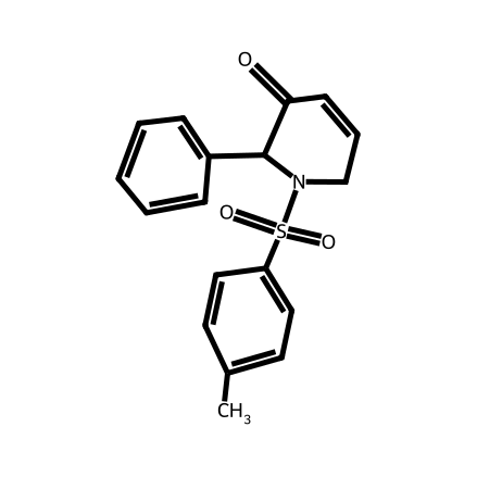 Cc1ccc(S(=O)(=O)N2CC=CC(=O)C2c2ccccc2)cc1